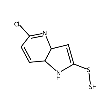 SSC1=CC2N=C(Cl)C=CC2N1